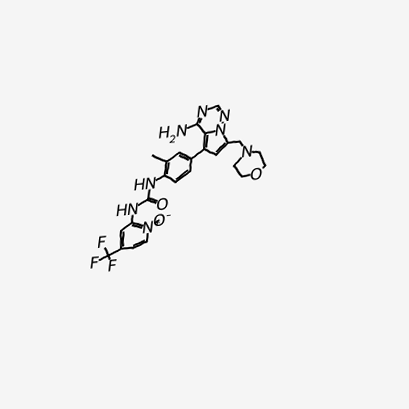 Cc1cc(-c2cc(CN3CCOCC3)n3ncnc(N)c23)ccc1NC(=O)Nc1cc(C(F)(F)F)cc[n+]1[O-]